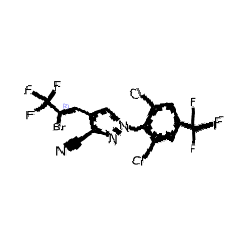 N#Cc1nn(-c2c(Cl)cc(C(F)(F)F)cc2Cl)cc1/C=C(\Br)C(F)(F)F